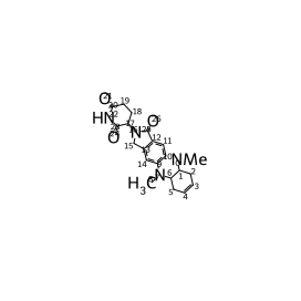 CNC1CC=CCC1N(C)c1ccc2c(c1)CN(C1CCC(=O)NC1=O)C2=O